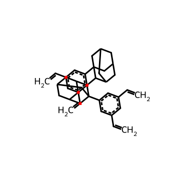 C=Cc1cc(C=C)cc(C23CC4CC(CC(C4)C2C2C4CC5CC(C4)CC2(c2cc(C=C)cc(C=C)c2)C5)C3)c1